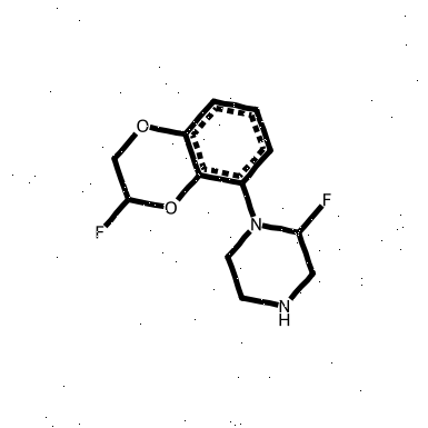 FC1COc2cccc(N3CCNCC3F)c2O1